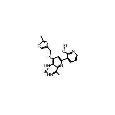 CCOc1ncccc1-c1cc(NCc2coc(C)n2)c(NC(C)CC)c(C(C)=N)n1